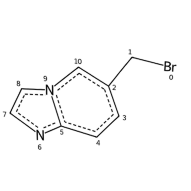 BrCc1ccc2nccn2c1